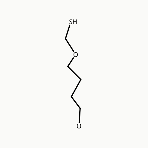 [O]CCCCOCS